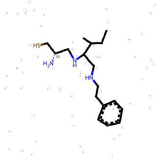 CCC(C)C(CNCCc1ccccc1)NC[C@H](N)CS